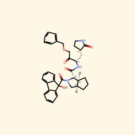 O=C1NCC[C@H]1C[C@H](NC(=O)[C@@H]1[C@H]2CCC[C@H]2CN1C(=O)C1(O)c2ccccc2-c2ccccc21)C(=O)COCc1ccccc1